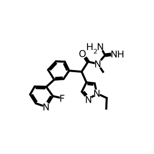 CCn1cc(C(C(=O)N(C)C(=N)N)c2cccc(-c3cccnc3F)c2)cn1